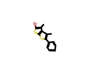 Cc1c(Br)sc2sc(-c3ccccc3)c(C)c12